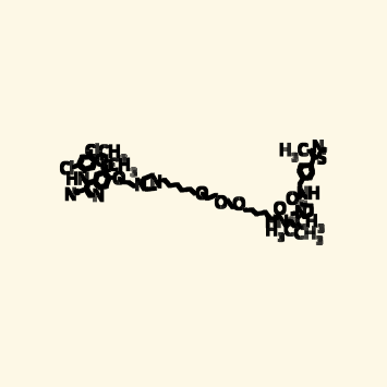 COc1cc(Nc2c(C#N)cnc3cc(OCCCN4CCN(CCCCCCOCCOCCOCCCCCC(=O)N[C@H](CN5CCC[C@H]5C(=O)NCc5ccc(-c6scnc6C)cc5)C(C)(C)C)CC4)c(OC)cc23)c(Cl)cc1Cl